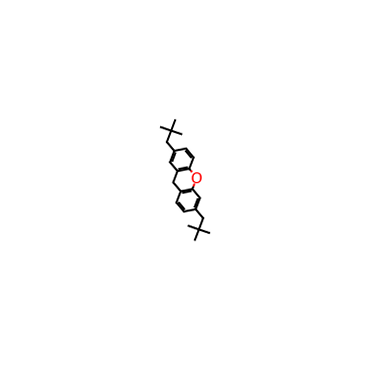 CC(C)(C)Cc1ccc2c(c1)Cc1ccc(CC(C)(C)C)cc1O2